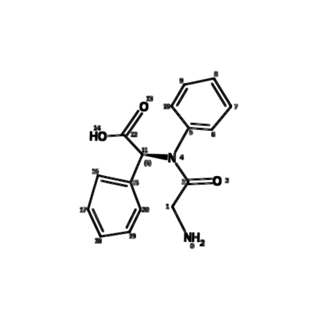 NCC(=O)N(c1ccccc1)[C@H](C(=O)O)c1ccccc1